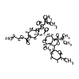 C[C@H]1CCC[C@@H](COP(=O)(N(C)C)N2C[C@@H](COP(=O)(N(C)C)N3CCN(C(=O)OCCO)CC3)O[C@@H](C)C2)O1